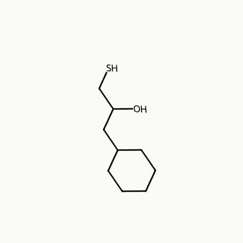 OC(CS)CC1CCCCC1